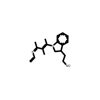 C=C/N=C(C)\C(C)=C(/C)N1CC(CCN=O)c2ccccc21